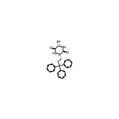 CC(C)[C@@H]1NC(=O)[C@H](CSC(c2ccccc2)(c2ccccc2)c2ccccc2)NC1=O